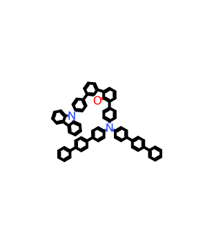 c1ccc(-c2ccc(-c3ccc(N(c4ccc(-c5ccc(-c6ccccc6)cc5)cc4)c4ccc(-c5cccc6c5oc5c(-c7ccc(-n8c9ccccc9c9ccccc98)cc7)cccc56)cc4)cc3)cc2)cc1